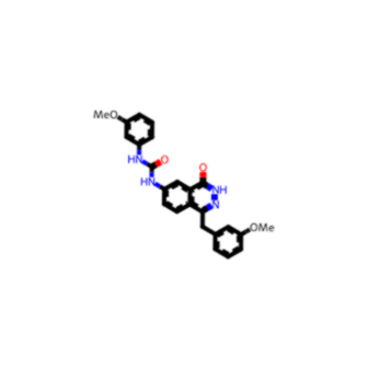 COc1cccc(Cc2n[nH]c(=O)c3cc(NC(=O)Nc4cccc(OC)c4)ccc23)c1